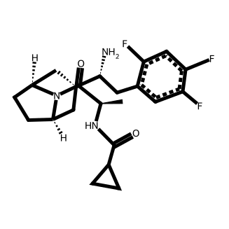 C[C@@H](NC(=O)C1CC1)C(=O)N1[C@@H]2CC[C@H]1C[C@H]([C@H](N)Cc1cc(F)c(F)cc1F)C2